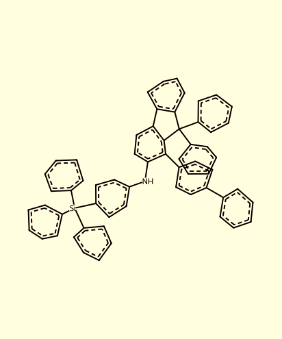 c1ccc(-c2ccc(-c3c(Nc4ccc([Si](c5ccccc5)(c5ccccc5)c5ccccc5)cc4)ccc4c3C(c3ccccc3)(c3ccccc3)c3ccccc3-4)cc2)cc1